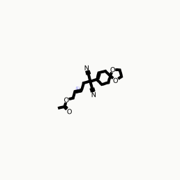 CC(=O)OC/C=C/CC(C#N)(C#N)C1=CCC2(CC1)OCCO2